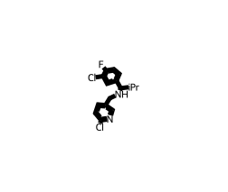 CC(C)C(NCc1ccc(Cl)nc1)c1ccc(F)c(Cl)c1